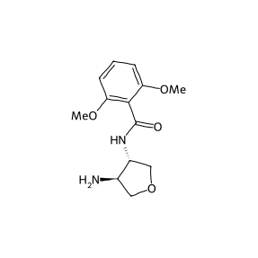 COc1cccc(OC)c1C(=O)N[C@@H]1COC[C@H]1N